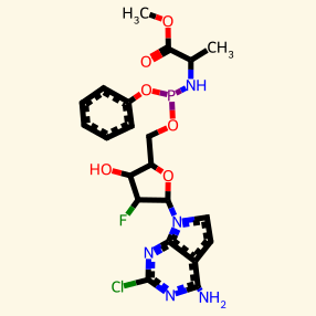 COC(=O)C(C)NP(OCC1OC(n2ccc3c(N)nc(Cl)nc32)C(F)C1O)Oc1ccccc1